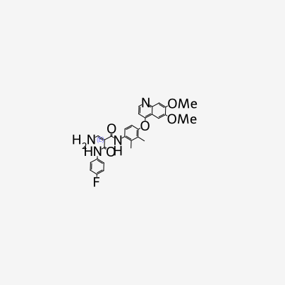 COc1cc2nccc(Oc3ccc(NC(=O)/C(=C/N)C(=O)Nc4ccc(F)cc4)c(C)c3C)c2cc1OC